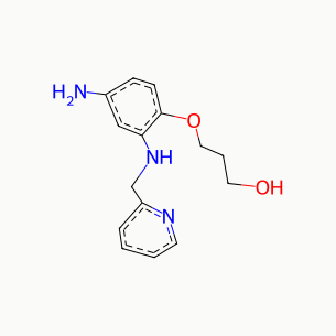 Nc1ccc(OCCCO)c(NCc2ccccn2)c1